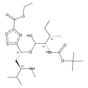 CCOC(=O)c1csc([C@@H](C[C@@H](NC)C(C)C)OC(O)[C@@H](NC(=O)OC(C)(C)C)[C@@H](C)CC)n1